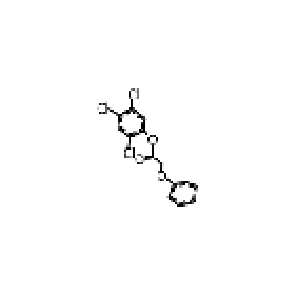 O=C(COc1ccccc1)Oc1cc(Cl)c(Cl)cc1Cl